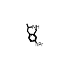 CCCc1ccc2c(c1)CNC(C)C2